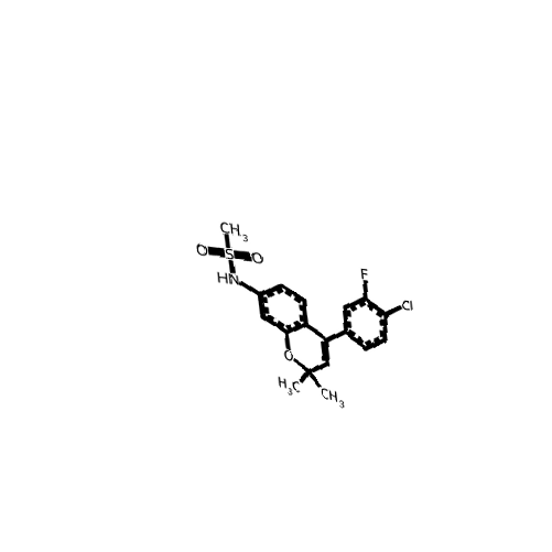 CC1(C)C=C(c2ccc(Cl)c(F)c2)c2ccc(NS(C)(=O)=O)cc2O1